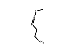 CO/B=N/CCN